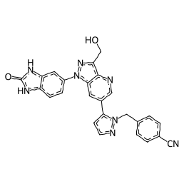 N#Cc1ccc(Cn2nccc2-c2cnc3c(CO)nn(-c4ccc5[nH]c(=O)[nH]c5c4)c3c2)cc1